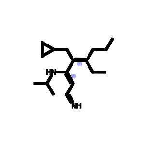 CCC/C(CC)=C(CC1CC1)/C(=C/C=N)NC(C)C